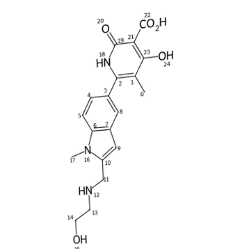 Cc1c(-c2ccc3c(c2)cc(CNCCO)n3C)[nH]c(=O)c(C(=O)O)c1O